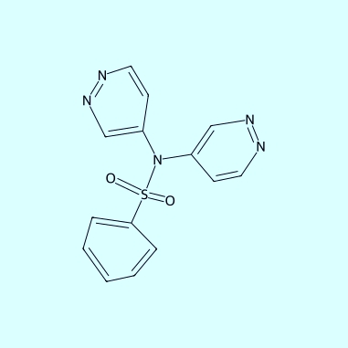 O=S(=O)(c1ccccc1)N(c1ccnnc1)c1ccnnc1